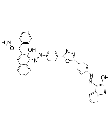 NOC(c1ccccc1)c1cc2ccccc2c(N=Nc2ccc(-c3nnc(-c4ccc(N=Nc5c(O)ccc6ccccc56)cc4)o3)cc2)c1O